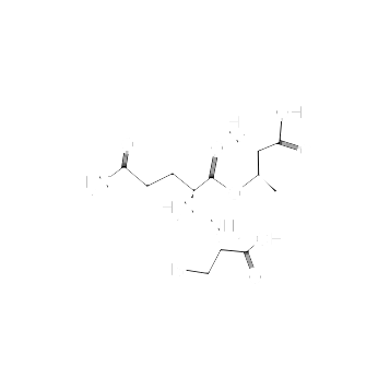 C[C@@H](OC(=O)[C@@H](N)CCC(N)=O)[C@H](N)C(=O)O.N[C@@H](CS)C(=O)O